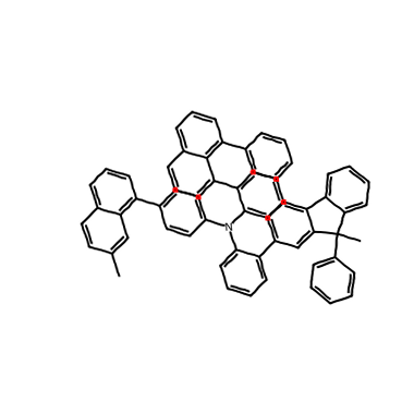 Cc1ccc2cccc(-c3ccc(N(c4ccccc4-c4ccc5c(c4)C(C)(c4ccccc4)c4ccccc4-5)c4ccccc4-c4cccc5cccc(-c6ccccc6)c45)cc3)c2c1